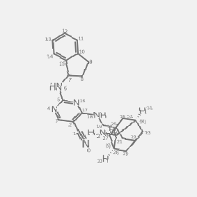 N#Cc1cnc(NC2CCc3ccccc32)nc1NC[C@]12CC3C[C@H](C1)[C@@H](N)[C@@H](C3)C2